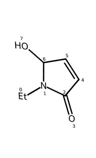 [CH2]CN1C(=O)C=CC1O